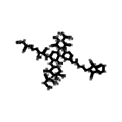 C=C(C)OC(=O)N[C@@H]1CC=C(CNCCCN2C(=O)c3ccccc3C2=O)O[C@@H]1C1[C@@H](NC(=O)OC(C)(C)C)C[C@@H](NC(=O)[C@@H](O)CCNC(=O)OC(C)(C)C)[C@H](O[C@H]2OC[C@](C)(O)[C@H](N(C)C(=O)OC(C)(C)C)[C@H]2O)[C@H]1O